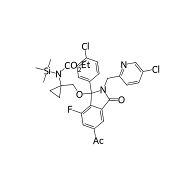 CCOC(=O)N(C1(COC2(c3ccc(Cl)cc3)c3c(F)cc(C(C)=O)cc3C(=O)N2Cc2ccc(Cl)cn2)CC1)[Si](C)(C)C